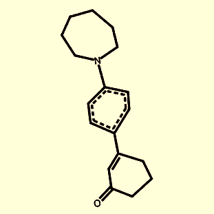 O=C1C=C(c2ccc(N3CCCCCC3)cc2)CCC1